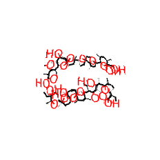 CC[C@@H](C(=O)[C@@H](C)[C@@H](O)[C@H](C)[C@@H]1O[C@@H]([C@@H](CC)C(=O)O)CC[C@@H]1C)[C@H]1O[C@]2(C=C[C@@H](O)[C@]3(CC[C@@](C)([C@H]4CC[C@](O)(CC)[C@H](C)O4)O3)O2)[C@H](C)C[C@@H]1C.CC[C@@]1([C@@H]2O[C@@H]([C@H]3O[C@@](O)(CO)[C@H](C)C[C@@H]3C)C[C@@H]2C)CC[C@H]([C@]2(C)CC[C@]3(C[C@H](O)[C@@H](C)[C@@H]([C@@H](C)[C@@H](OC)[C@H](C)C(=O)O)O3)O2)O1